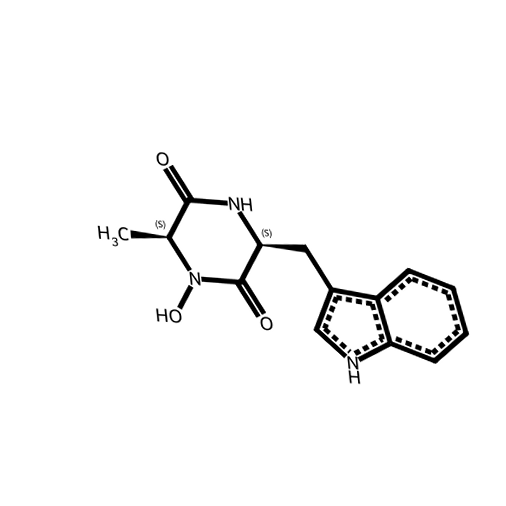 C[C@H]1C(=O)N[C@@H](Cc2c[nH]c3ccccc23)C(=O)N1O